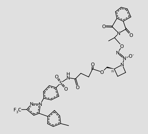 Cc1ccc(-c2cc(C(F)(F)F)nn2-c2ccc(S(=O)(=O)NC(=O)CCC(=O)OC[C@@H]3CCN3[N+]([O-])=NOC(C)N3C(=O)c4ccccc4C3=O)cc2)cc1